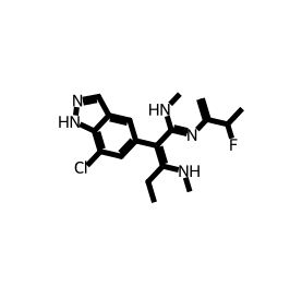 C=C(/N=C(NC)/C(=C(/CC)NC)c1cc(Cl)c2[nH]ncc2c1)C(C)F